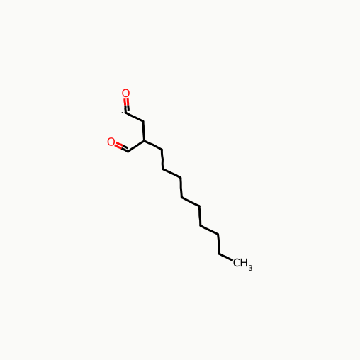 CCCCCCCCCC(C=O)C[C]=O